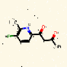 CCCC(=O)CC(=O)c1ccc(F)c(C)n1